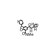 CNC(=O)c1cc(C(=O)N[C@H]2[C@@H]3COC[C@@H]32)cc2c1OCC2c1cccnc1